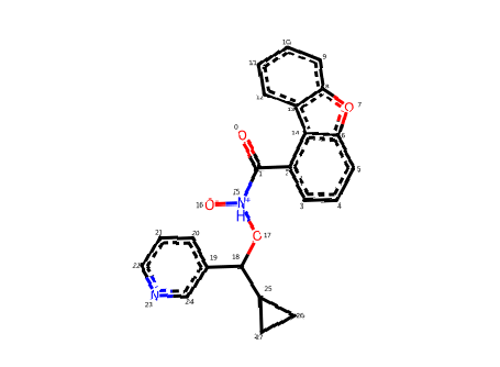 O=C(c1cccc2oc3ccccc3c12)[NH+]([O-])OC(c1cccnc1)C1CC1